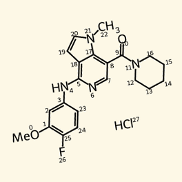 COc1cc(Nc2ncc(C(=O)N3CCCCC3)c3c2ccn3C)ccc1F.Cl